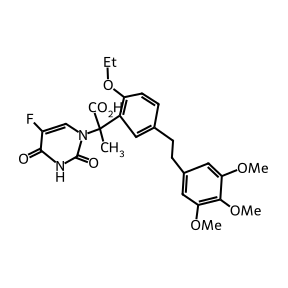 CCOc1ccc(CCc2cc(OC)c(OC)c(OC)c2)cc1C(C)(C(=O)O)n1cc(F)c(=O)[nH]c1=O